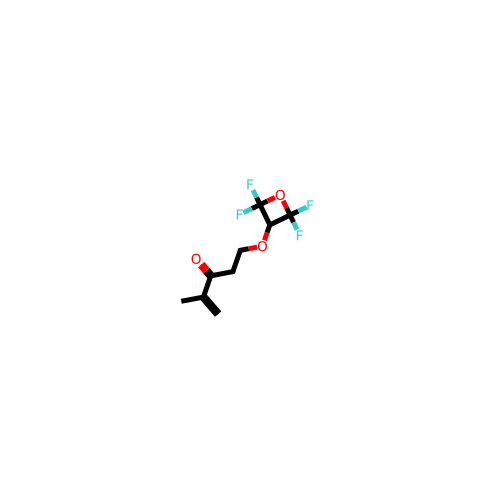 C=C(C)C(=O)CCOC1C(F)(F)OC1(F)F